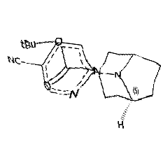 CC(C)(C)OC(=O)N1CC2CC[C@@H](C1)N2c1ccc(C#N)cn1